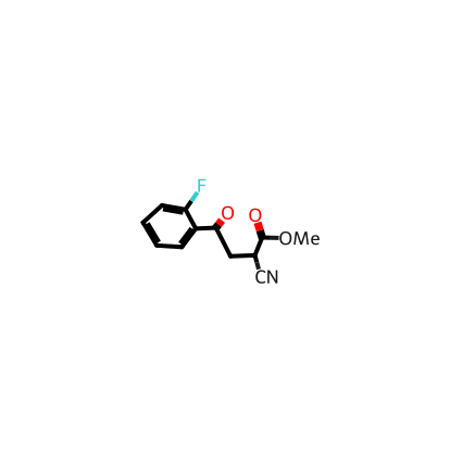 COC(=O)C(C#N)CC(=O)c1ccccc1F